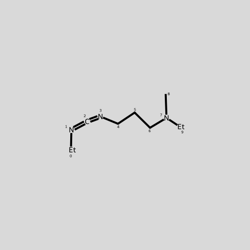 CCN=C=NCCCN(C)CC